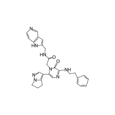 O=C(Cn1c(-c2cnn3c2CCC3)cnc(NCCc2ccccc2)c1=O)NCc1cc2cnccc2[nH]1